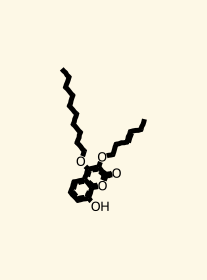 CCC=CCCOc1c(OCCCCCCCCCC)c2cccc(O)c2oc1=O